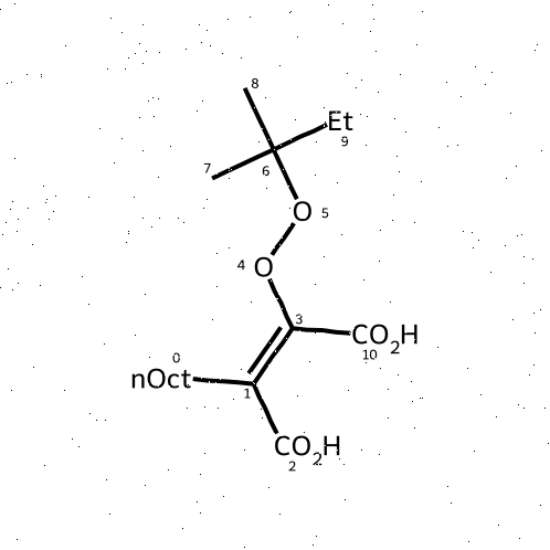 CCCCCCCCC(C(=O)O)=C(OOC(C)(C)CC)C(=O)O